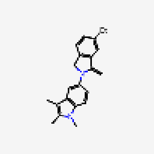 C=C1c2cc(CC)ccc2CN1c1ccc2c(c1)c(C)c(C)n2C